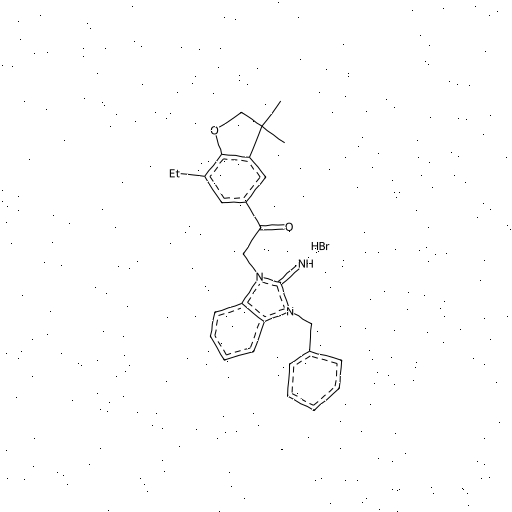 Br.CCc1cc(C(=O)Cn2c(=N)n(Cc3ccccc3)c3ccccc32)cc2c1OCC2(C)C